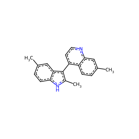 Cc1ccc2c(-c3c(C)[nH]c4ccc(C)cc34)ccnc2c1